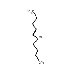 CCCCCCCCCC.Cl